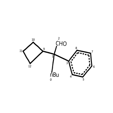 [CH2]CCCC(C=O)(c1ccccc1)C1CCC1